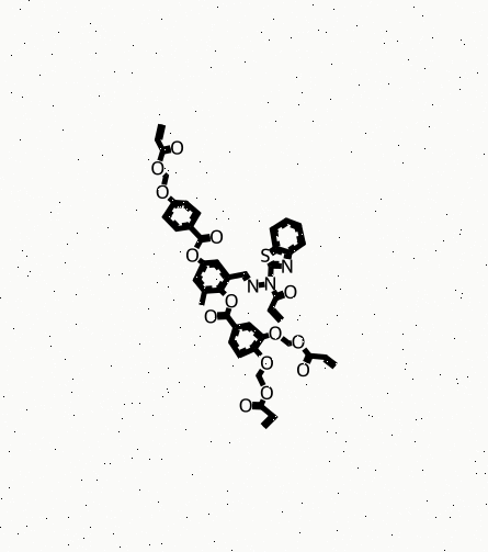 C=CC(=O)OCOc1ccc(C(=O)Oc2cc(C)c(OC(=O)c3ccc(OCOC(=O)C=C)c(OCOC(=O)C=C)c3)c(/C=N/N(C(=O)C=C)c3nc4ccccc4s3)c2)cc1